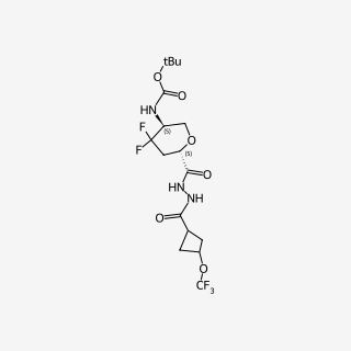 CC(C)(C)OC(=O)N[C@H]1CO[C@H](C(=O)NNC(=O)C2CC(OC(F)(F)F)C2)CC1(F)F